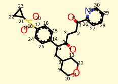 O=C(CCC(=O)C(CC1CCOCC1)c1ccc(S(=O)(=O)C2CC2)cc1)c1ccccn1